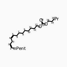 CCCCC/C=C\C/C=C\CCCCCCCCOC(=O)OCCC(C)C